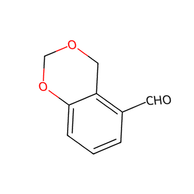 O=Cc1cccc2c1COCO2